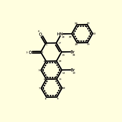 O=C1C(=O)c2cc3ccccc3c(Br)c2C(Br)=C1Nc1ccccc1